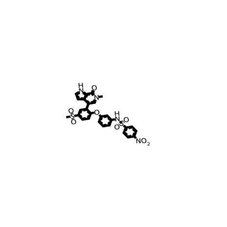 Cn1cc(-c2cc(S(C)(=O)=O)ccc2Oc2cccc(NS(=O)(=O)c3ccc([N+](=O)[O-])cc3)c2)c2cc[nH]c2c1=O